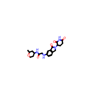 CC1CC(NC(=O)CNc2ccc3c(c2)C(=O)N(C2CCC(=O)NC2=O)C3)CCO1